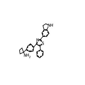 NC1(c2ccc(-c3nc(-c4ccc5c(c4)CCN5)sc3-c3ccccc3)cc2)CCC1